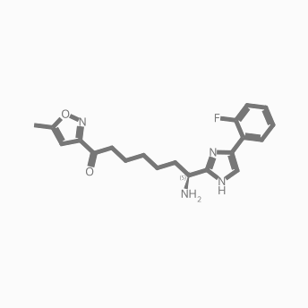 Cc1cc(C(=O)CCCCC[C@H](N)c2nc(-c3ccccc3F)c[nH]2)no1